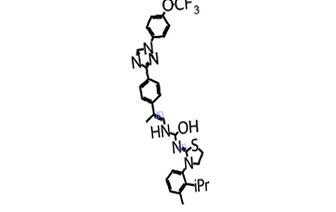 C/C(=C\NC(O)/N=C1\SCCN1c1cccc(C)c1C(C)C)c1ccc(-c2ncn(-c3ccc(OC(F)(F)F)cc3)n2)cc1